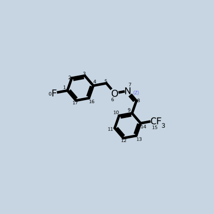 Fc1ccc(CO/N=[C]\c2ccccc2C(F)(F)F)cc1